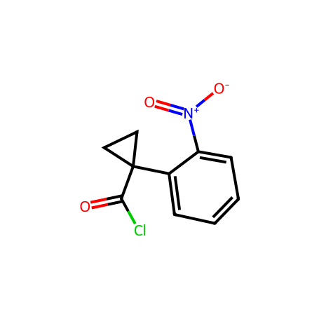 O=C(Cl)C1(c2ccccc2[N+](=O)[O-])CC1